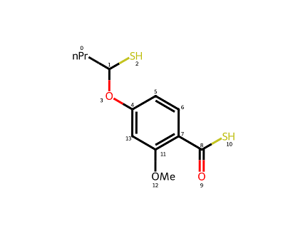 CCCC(S)Oc1ccc(C(=O)S)c(OC)c1